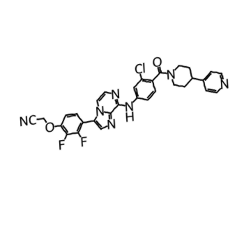 N#CCOc1ccc(-c2cnc3c(Nc4ccc(C(=O)N5CCC(c6ccncc6)CC5)c(Cl)c4)nccn23)c(F)c1F